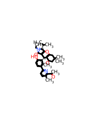 CCN1C(=O)C2=C(OC3=C(C(=O)CC(C)(C)C3)[C@@H]2c2c(O)ccc(-c3ccc(C)c(C(C)=O)n3)c2C)[C@H]1C(C)C